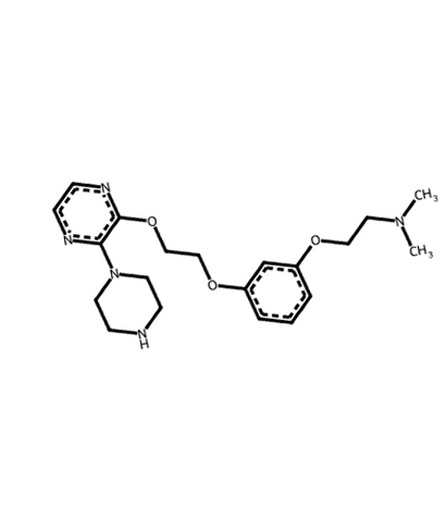 CN(C)CCOc1cccc(OCCOc2nccnc2N2CCNCC2)c1